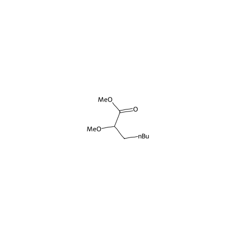 CCCCCC(OC)C(=O)OC